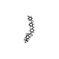 Cc1ccc(Oc2cccc(CC3CCN(C(=O)Nc4ccc(C(F)(F)F)cn4)CC3)c2)nc1